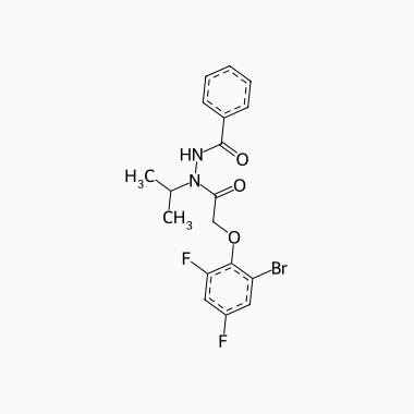 CC(C)N(NC(=O)c1ccccc1)C(=O)COc1c(F)cc(F)cc1Br